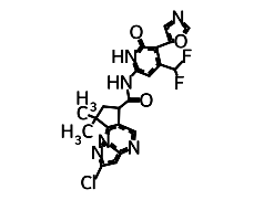 CC1(C)CC(C(=O)Nc2cc(C(F)F)c(-c3cnco3)c(=O)[nH]2)c2cnc3cc(Cl)nn3c21